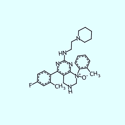 Cc1cc(F)ccc1-c1nc(NCCN2CCCCC2)nc2c1CNC[N+]2([O-])c1ccccc1C